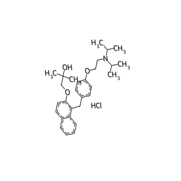 CC(C)N(CCOc1ccc(Cc2c(OCC(C)(C)O)ccc3ccccc23)cc1)C(C)C.Cl